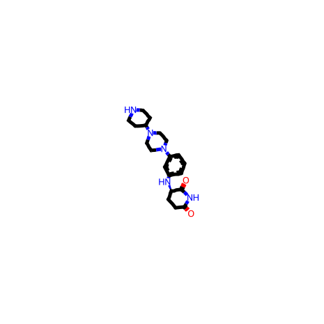 O=C1CC[C@@H](Nc2cccc(N3CCN(C4CCNCC4)CC3)c2)C(=O)N1